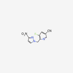 N#Cc1cnc(Cn2ccc([N+](=O)[O-])n2)c(F)c1